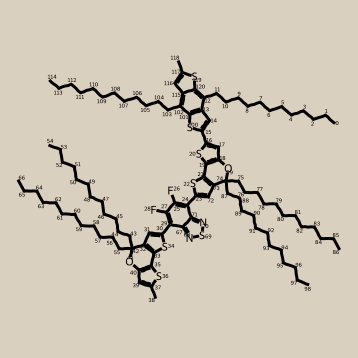 CCCCCCCCCCCCc1c2cc(-c3cc4c(s3)-c3sc(-c5c(F)c(F)c(-c6cc7c(s6)-c6sc(C)cc6OC7(CCCCCCCCCCCC)CCCCCCCCCCCC)c6nsnc56)cc3C(CCCCCCCCCCCC)(CCCCCCCCCCCC)O4)sc2c(CCCCCCCCCCCC)c2cc(C)sc12